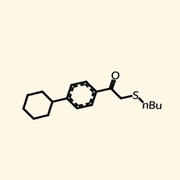 CCCCSCC(=O)c1ccc(C2CCCCC2)cc1